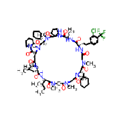 CC[C@H](C)[C@@H]1NC(=O)[C@H](CC(C)C)N(C)C(=O)C[C@@H](C(=O)N2CCCCC2)N(C)C(=O)[C@H](C2CCCCC2)N(C)C(=O)C2(CCCC2)NC(=O)[C@@H](C)NC(=O)[C@H](CCc2ccc(C(F)(F)F)c(Cl)c2)NC(=O)CN(C)C(=O)[C@H](CC2CCCCC2)N(C)C(=O)CN(C)C(=O)CN(C)C1=O